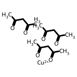 CC(=O)CC(C)=O.CC(=O)CC(C)=O.CC(=O)CC(C)=O.[Cu+2]